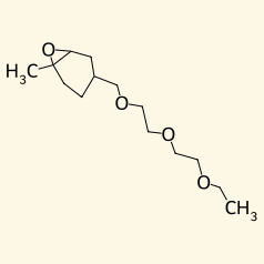 CCOCCOCCOCC1CCC2(C)OC2C1